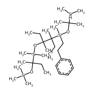 CCC(C)(O[Si](C)(C)C(C)(CC)O[Si](C)(C)C)C(C)(CC)[Si](C)(CCc1ccccc1)OC(C)(C)[SiH](C)C